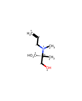 C=CCN(C)[C@@](C)(CO)C(=O)O